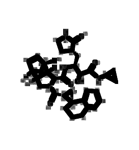 O=C(NC1CC1)C(O)[C@H](C[C@@H]1CCNC1=O)NC(=O)[C@@H]1[C@@H]2[C@H](CN1C(=O)[C@@H]1C[C@]13CCCc1ccccc13)[C@@H]1C=C[C@H]2C1